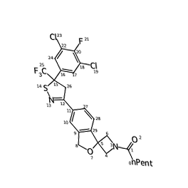 CCCCCC(=O)N1CC2(C1)OCc1cc(C3=NSC(c4cc(Cl)c(F)c(Cl)c4)(C(F)(F)F)C3)ccc12